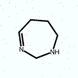 C1=NCNCCC1